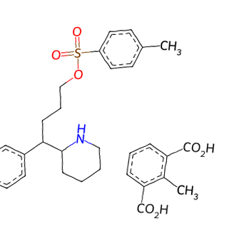 Cc1c(C(=O)O)cccc1C(=O)O.Cc1ccc(S(=O)(=O)OCCCC(c2ccccc2)C2CCCCN2)cc1